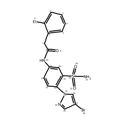 CCc1ccccc1CC(=O)Nc1ccc(-n2cc(Br)cn2)c(S(N)(=O)=O)c1